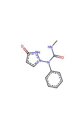 CNC(=O)N(c1ccccc1)n1ccc(=O)[nH]1